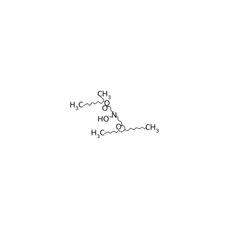 CCCCCCCCC(CCCCCCCC)CC(=O)CCCN(CCO)CCCC(=O)OC(CCC)CCCCCCCC